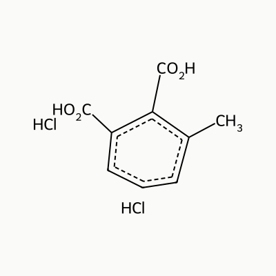 Cc1cccc(C(=O)O)c1C(=O)O.Cl.Cl